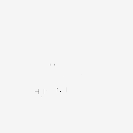 O=C(NP)Oc1ccccc1